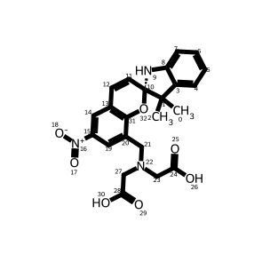 CC1(C)c2ccccc2N[C@]12C=Cc1cc([N+](=O)[O-])cc(CN(CC(=O)O)CC(=O)O)c1O2